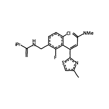 C=C(/C=C(/c1nc(C)cs1)c1c(Cl)ccc(CNC(=C)C(C)C)c1F)NC